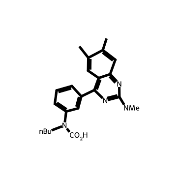 CCCCN(C(=O)O)c1cccc(-c2nc(NC)nc3cc(C)c(C)cc23)c1